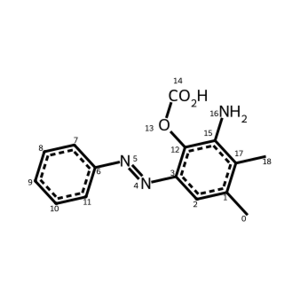 Cc1cc(N=Nc2ccccc2)c(OC(=O)O)c(N)c1C